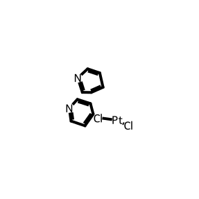 [Cl][Pt][Cl].c1ccncc1.c1ccncc1